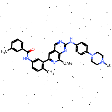 CCN1CCN(c2ccc(Nc3ncc4cc(-c5cc(NC(=O)c6cccc(C(F)(F)F)c6)ccc5C)nc(OC)c4n3)cc2)CC1